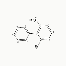 O=C(O)c1[c]ccc(Br)c1-c1ccccc1